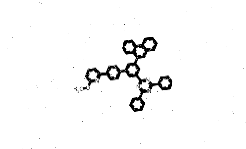 COc1cccc(-c2ccc(-c3cc(-c4nc(-c5ccccc5)nc(-c5ccccc5)n4)cc(-c4cc5ccccc5c5ccccc45)c3)cc2)n1